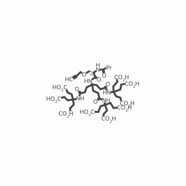 C#CCOC[C@H](NC(=O)C(C)C)C(=O)NC(CCC(=O)NC(CCC(=O)O)(CCC(=O)O)CCC(=O)O)(CCC(=O)NC(CCC(=O)O)(CCC(=O)O)CCC(=O)O)CCC(=O)NC(CCC(=O)O)(CCC(=O)O)CCC(=O)O